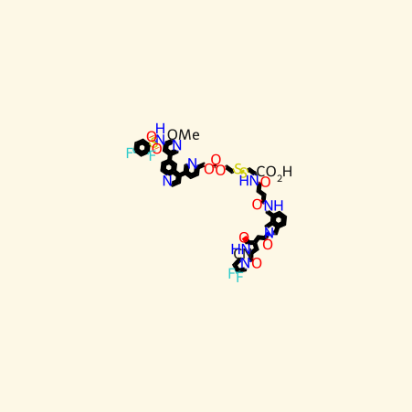 COc1ncc(-c2ccc3nccc(-c4ccc(COC(=O)OCCSSCC(NC(=O)CCC(=O)NCc5cccc6c5CN(C(=O)CC5CC(C(=O)N7CC(F)(F)C[C@H]7C#N)NC5=O)C6)C(=O)O)nc4)c3c2)cc1NS(=O)(=O)c1ccc(F)cc1F